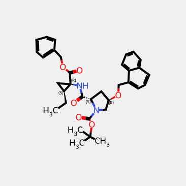 CC[C@H]1C[C@]1(NC(=O)[C@@H]1C[C@@H](OCc2cccc3ccccc23)CN1C(=O)OC(C)(C)C)C(=O)OCc1ccccc1